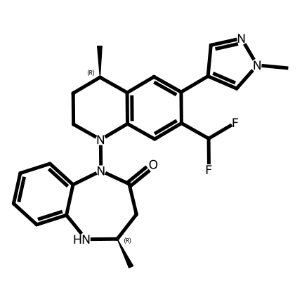 C[C@@H]1CC(=O)N(N2CC[C@@H](C)c3cc(-c4cnn(C)c4)c(C(F)F)cc32)c2ccccc2N1